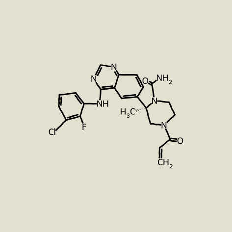 C=CC(=O)N1CCN(C(N)=O)[C@](C)(c2ccc3ncnc(Nc4cccc(Cl)c4F)c3c2)C1